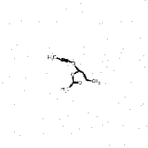 CC#COC(CCC)OC(C)=O